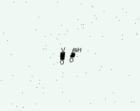 [O]=[BiH].[O]=[V]